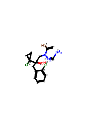 C=C(S)N(CC(O)(Cc1ccccc1Cl)C1(Cl)CC1)/N=C\N